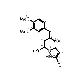 CCCCC(Cc1ccc(OC)c(OC)c1)CC(CCC)N1CC=C(CC)N1